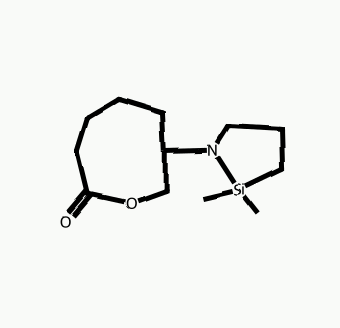 C[Si]1(C)CCCN1C1CCCCC(=O)OC1